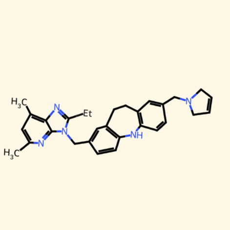 CCc1nc2c(C)cc(C)nc2n1Cc1ccc2c(c1)CCc1cc(CN3CC=CC3)ccc1N2